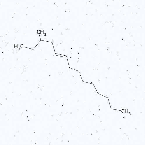 CCCCCCCCC=CCC(C)CC